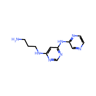 NCCCNc1cc(Nc2cnccn2)ncn1